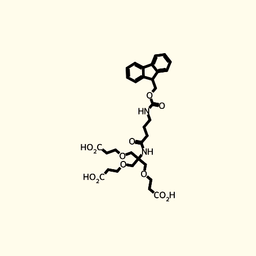 O=C(O)CCOCC(COCCC(=O)O)(COCCC(=O)O)NC(=O)CCCNC(=O)OCC1c2ccccc2-c2ccccc21